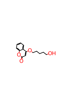 O=c1cc(OCCCCCO)c2ccccc2o1